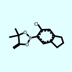 C=C1OB(c2cc3c(cc2Cl)CCC3)OC1(C)C